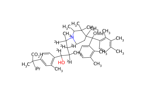 [2H]C(O)(c1ccc(C(C)(C(=O)O)C(C)C)cc1C)C([2H])(C)C([2H])([2H])C([2H])(C)N1CCC(C)(C(OC)(c2cccc(C)c2C)c2ccc(C)c(C)c2C)C(C)(C)C1C